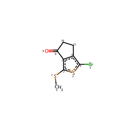 CSc1sc(Br)c2c1C(=O)CC2